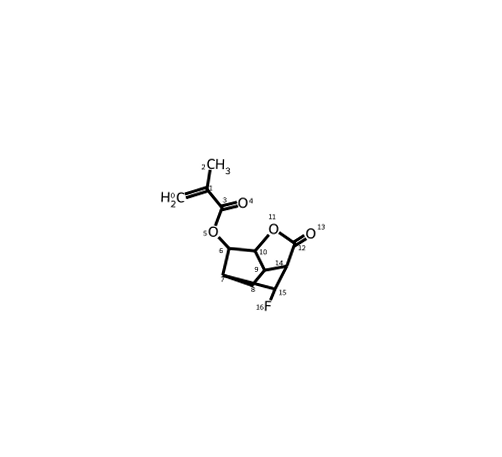 C=C(C)C(=O)OC1C2CC3C1OC(=O)C3C2F